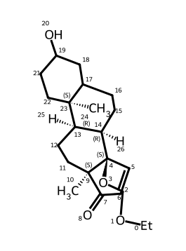 CCOCO[C@@]12C=CC(=O)[C@@]1(C)CC[C@@H]1[C@H]2CCC2CC(O)CC[C@@]21C